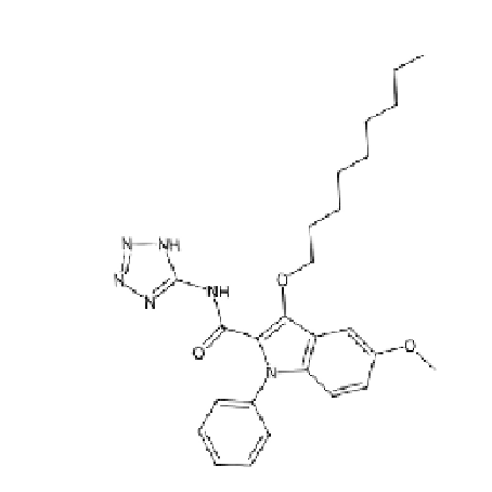 CCCCCCCCCOc1c(C(=O)Nc2nnn[nH]2)n(-c2ccccc2)c2ccc(OC)cc12